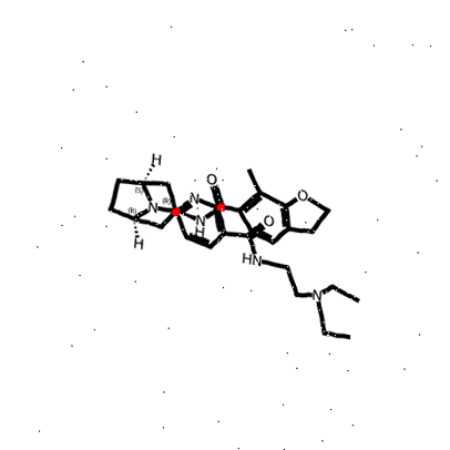 CCN(CC)CCNC(=O)c1ccc(N2[C@@H]3CC[C@H]2C[C@@H](NC(=O)c2ccc4c(c2C)OCC4)C3)nc1